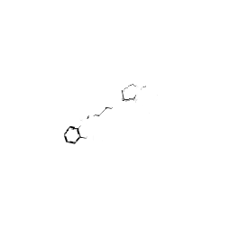 Cc1ccccc1S(=O)(=O)OCCO[C@H]1CCN(C(=O)O)[C@@H]1C(=O)O